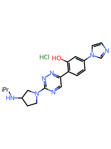 CC(C)NC1CCN(c2ncc(-c3ccc(-n4ccnc4)cc3O)nn2)C1.Cl